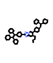 C=C/C=C\c1cc2nc(-c3ccc(C(=C(c4ccccc4)c4ccccc4)c4ccccc4)cc3)nn2cc1-c1ccc(C=C(c2ccccc2)c2ccccc2)cc1